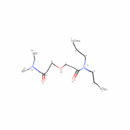 CCCCCCCCCCCCN(CCCCCCCCCCCC)C(=O)COCC(=O)N(C(C)C)C(C)C